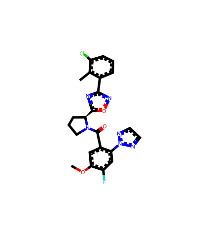 COc1cc(C(=O)N2CCC[C@H]2c2nc(-c3cccc(Cl)c3C)no2)c(-n2nccn2)cc1F